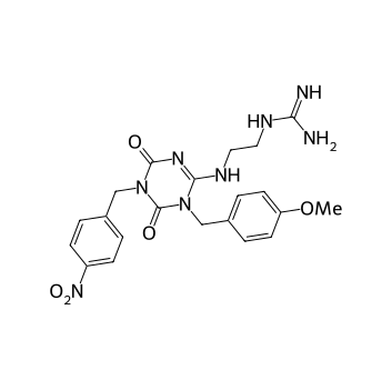 COc1ccc(Cn2c(NCCNC(=N)N)nc(=O)n(Cc3ccc([N+](=O)[O-])cc3)c2=O)cc1